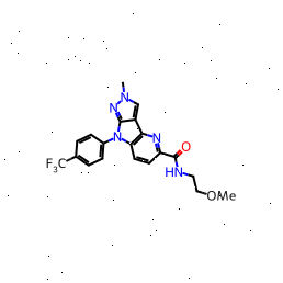 COCCNC(=O)c1ccc2c(n1)c1cn(C)nc1n2-c1ccc(C(F)(F)F)cc1